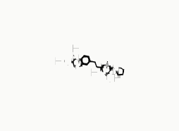 C[C@H](NC(=O)CCc1ccc2c(c1)OC[C@@H](O)N2)C(=O)N1CCCC1